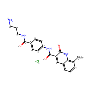 CNc1cccc2cc(C(=O)Nc3ccc(C(=O)NCCCN)cc3)c(=O)[nH]c12.Cl